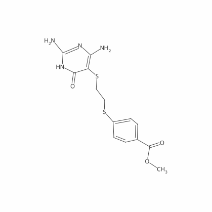 COC(=O)c1ccc(SCCSc2c(N)nc(N)[nH]c2=O)cc1